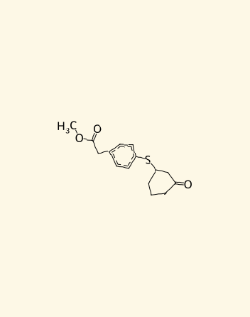 COC(=O)Cc1ccc(SC2CCCC(=O)C2)cc1